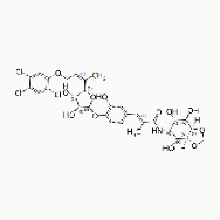 C/C(=C/COc1cc(Cl)c(Cl)cc1Cl)[C@H]1O[C@@H](Oc2ccc(/C=C(\C)C(=O)N[C@@H]3[C@H](O)[C@@H](O)[C@H]4OCO[C@H]4[C@@H]3O)cc2O)[C@@H](O)[C@@H]1O